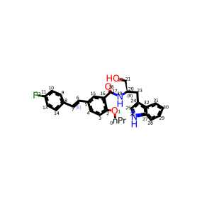 CCCOc1ccc(/C=C/c2ccc(F)cc2)cc1C(=O)N[C@@H](CO)Cc1c[nH]c2ccccc12